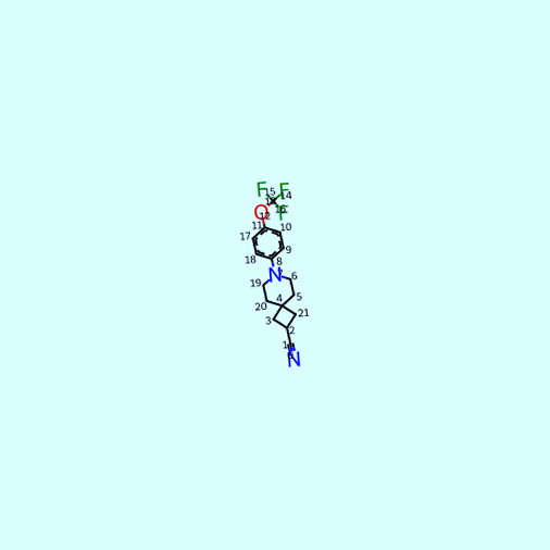 N#CC1CC2(CCN(c3ccc(OC(F)(F)F)cc3)CC2)C1